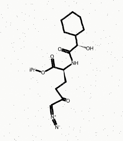 CC(C)OC(=O)[C@H](CCC(=O)C=[N+]=[N-])NC(=O)[C@@H](O)C1CCCCC1